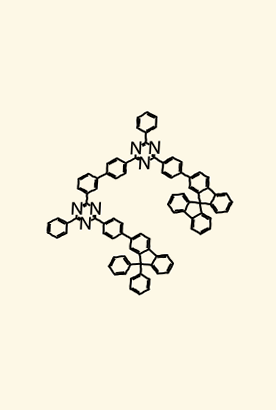 c1ccc(-c2nc(-c3ccc(-c4cccc(-c5nc(-c6ccccc6)nc(-c6ccc(-c7ccc8c(c7)C(c7ccccc7)(c7ccccc7)c7ccccc7-8)cc6)n5)c4)cc3)nc(-c3ccc(-c4ccc5c(c4)C4(c6ccccc6-c6ccccc64)c4ccccc4-5)cc3)n2)cc1